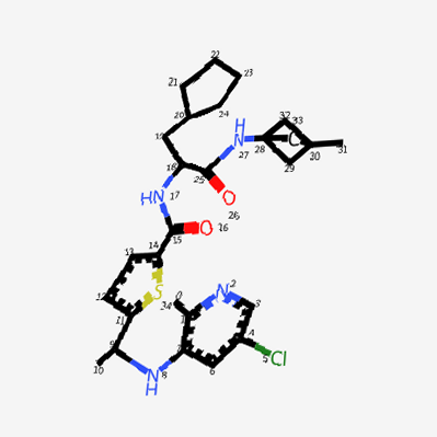 Cc1ncc(Cl)cc1NC(C)c1ccc(C(=O)NC(CC2CCCC2)C(=O)NC23CC(C)(C2)C3)s1